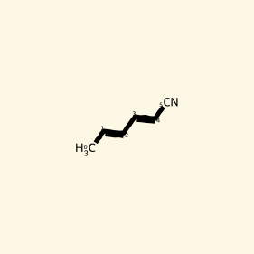 CC=CC=CC#N